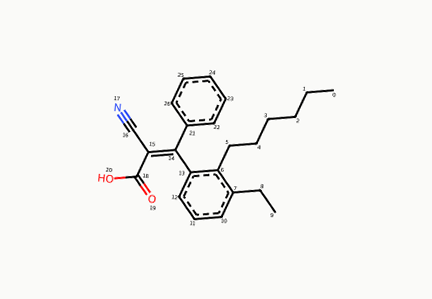 CCCCCCc1c(CC)cccc1C(=C(C#N)C(=O)O)c1ccccc1